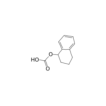 O=C(O)OC1CCCc2ccccc21